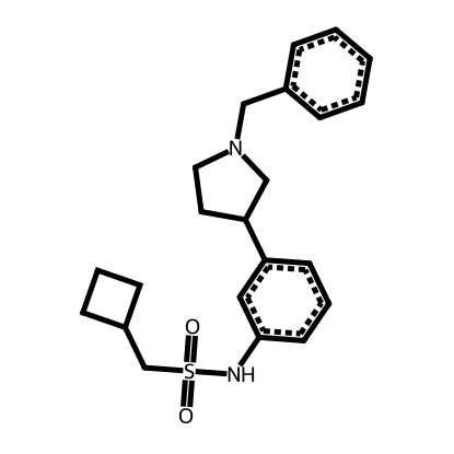 O=S(=O)(CC1CCC1)Nc1cccc(C2CCN(Cc3ccccc3)C2)c1